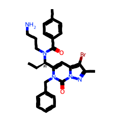 CC[C@H](c1cc2c(Br)c(C)nn2c(=O)n1Cc1ccccc1)N(CCCN)C(=O)c1ccc(C)cc1